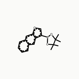 CC1(C)OB(c2coc3cc4ccccc4cc23)OC1(C)C